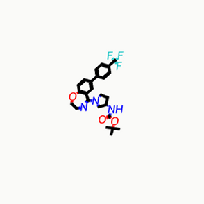 CC(C)(C)OC(=O)N[C@H]1CCN(C2=NCCOc3ccc(-c4ccc(C(F)(F)F)cc4)cc32)C1